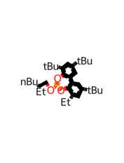 CCCCC(CC)COp1oc2c(CC)cc(C(C)(C)C)cc2c2cc(C(C)(C)C)cc(C(C)(C)C)c2o1